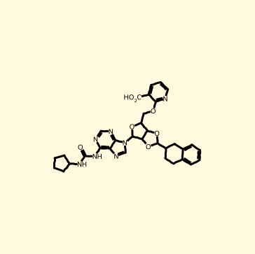 O=C(Nc1ncnc2c1ncn2C1OC(COc2ncccc2C(=O)O)C2OC(C3CCc4ccccc4C3)OC21)NC1CCCC1